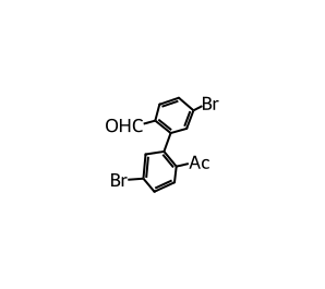 CC(=O)c1ccc(Br)cc1-c1cc(Br)ccc1C=O